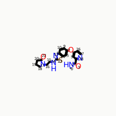 CNC(=O)c1cc(Oc2ccc3nc(NCCN4CCCC4=O)sc3c2)ccn1